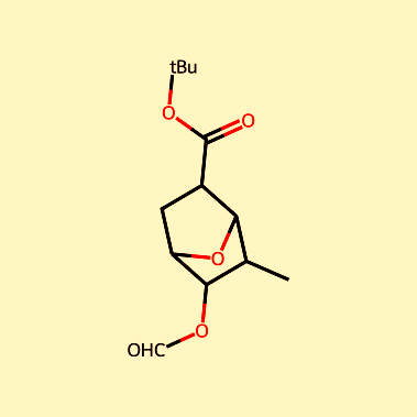 CC1C(OC=O)C2CC(C(=O)OC(C)(C)C)C1O2